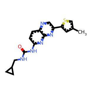 Cc1csc(-c2cnc3ccc(NC(=O)NCC4CC4)nc3n2)c1